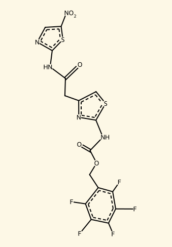 O=C(Cc1csc(NC(=O)OCc2c(F)c(F)c(F)c(F)c2F)n1)Nc1ncc([N+](=O)[O-])s1